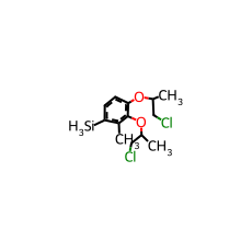 Cc1c([SiH3])ccc(OC(C)CCl)c1OC(C)CCl